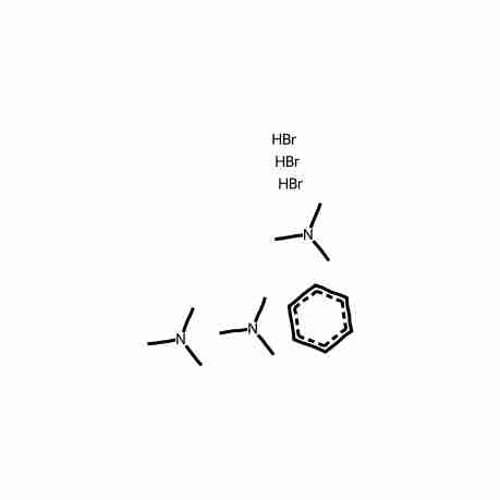 Br.Br.Br.CN(C)C.CN(C)C.CN(C)C.c1ccccc1